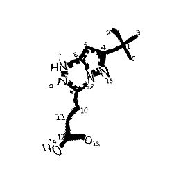 CC(C)(C)c1cc2[nH]nc(CCC(=O)O)n2n1